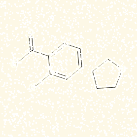 C1CCOC1.O=C(Cl)c1ccccc1Cl